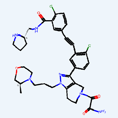 C[C@H]1COCCN1CCCn1nc(-c2ccc(Cl)c(C#Cc3ccc(Cl)c(C(=O)NC[C@@H]4CCCN4)c3)c2)c2c1CCN(C(=O)C(N)=O)C2